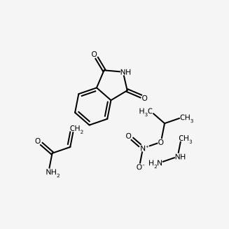 C=CC(N)=O.CC(C)O[N+](=O)[O-].CNN.O=C1NC(=O)c2ccccc21